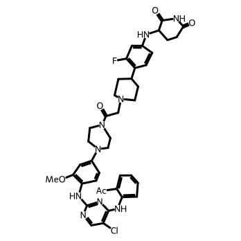 COc1cc(N2CCN(C(=O)CN3CCC(c4ccc(NC5CCC(=O)NC5=O)cc4F)CC3)CC2)ccc1Nc1ncc(Cl)c(Nc2ccccc2C(C)=O)n1